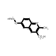 CCCCCCOc1ccc2nc(C)c(C(=O)O)cc2c1